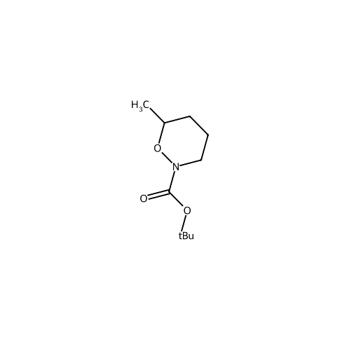 CC1CCCN(C(=O)OC(C)(C)C)O1